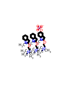 Cn1c(OCC[N+](C)(C)C)cc2ccccc21.Cn1c(OCC[N+](C)(C)C)cc2ccccc21.Cn1c(OCC[N+](C)(C)C)cc2ccccc21.O=P([O-])([O-])[O-]